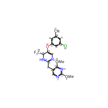 COc1ncc(CC2=NC=C(Oc3cc(Cl)cc(C#N)c3)C(C(F)(F)F)N2)c(OC)n1